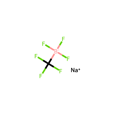 F[B-](F)(F)C(F)(F)F.[Na+]